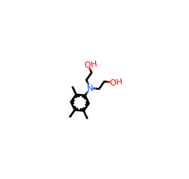 Cc1cc(C)c(N(CCO)CCO)cc1C